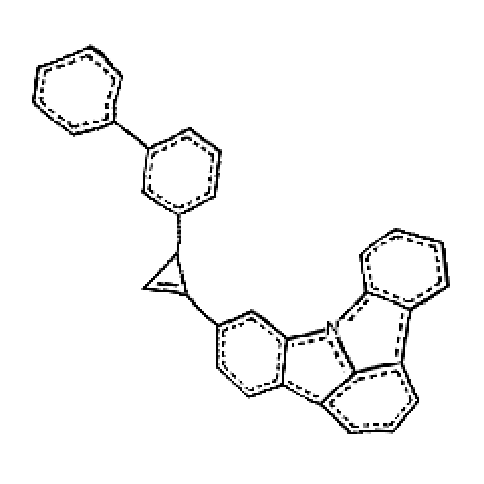 C1=C(c2ccc3c4cccc5c6ccccc6n(c3c2)c54)C1c1cccc(-c2ccccc2)c1